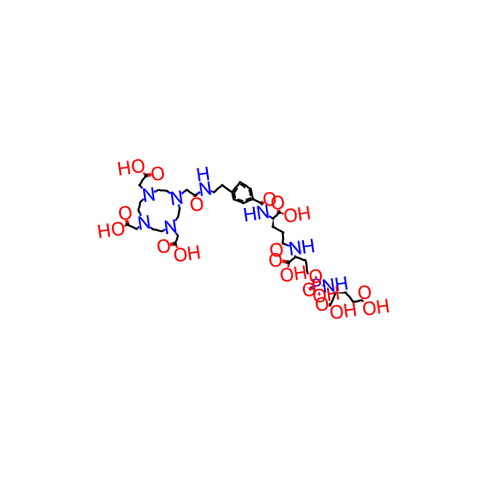 O=C(O)CC[C@H](NP(=O)(O)OCCC(NC(=O)CC[C@@H](NC(=O)c1ccc(CCNC(=O)CN2CCN(CC(=O)O)CCN(CC(=O)O)CCN(CC(=O)O)CC2)cc1)C(=O)O)C(=O)O)C(=O)O